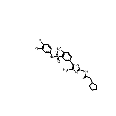 Cc1ccc(-c2sc(NC(=O)CC3CCCC3)nc2C)cc1S(=O)(=O)Nc1ccc(F)c(Cl)c1